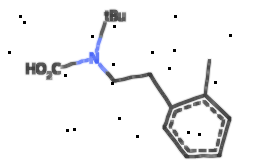 Cc1ccccc1CCN(C(=O)O)C(C)(C)C